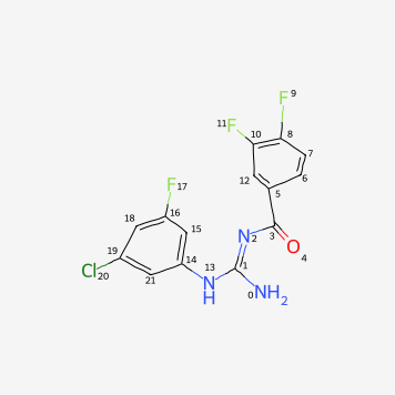 N/C(=N\C(=O)c1ccc(F)c(F)c1)Nc1cc(F)cc(Cl)c1